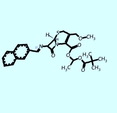 COCC1=C(C(=O)OC(C)OC(=O)C(C)(C)C)N2C(=O)C(/N=C/c3ccc4ccccc4c3)[C@H]2SC1